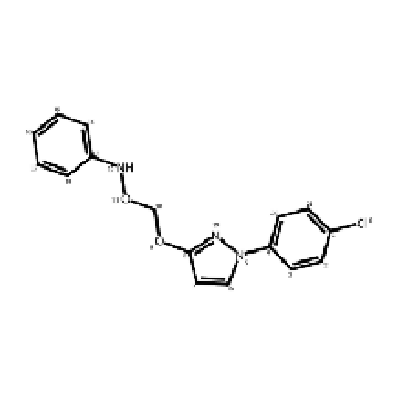 Clc1ccc(-n2ccc(OCONc3ccccc3)n2)cc1